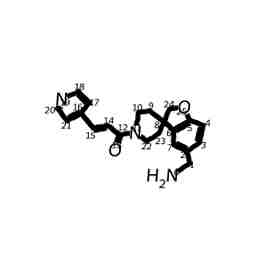 NCc1ccc2c(c1)C1(CCN(C(=O)/C=C/c3ccncc3)CC1)CO2